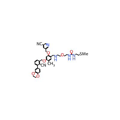 CSCCNC(=O)NCCOCCNCc1cc(C)c(OCc2cccc(-c3ccc4c(c3)OCCO4)c2C#N)cc1OCc1cncc(C#N)c1